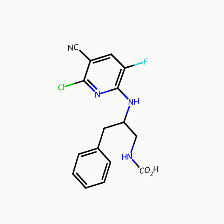 N#Cc1cc(F)c(NC(CNC(=O)O)Cc2ccccc2)nc1Cl